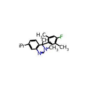 Cc1cc(C2(C)c3ccc(C(C)C)cc3N=CN2C)c(C)cc1F